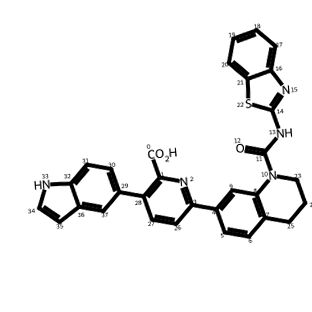 O=C(O)c1nc(-c2ccc3c(c2)N(C(=O)Nc2nc4ccccc4s2)CCC3)ccc1-c1ccc2[nH]ccc2c1